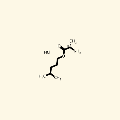 CC(C)CCCOC(=O)[C@H](C)N.Cl